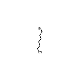 CCOCCCCCC#N